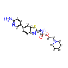 Nc1ccc(-c2ccc3nc(NC(=O)OCCN4CCCCC4)sc3c2)cn1